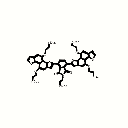 CCCCCCCCCCCCOc1cc2cc(-c3ccc(-c4cc5cc(OCCCCCCCCCCCC)c6c7sccc7cc(OCCCCCCCCCCCC)c6c5s4)c4c3C(=O)N(CCCCCCCCCCCC)C4=O)sc2c2c(OCCCCCCCCCCCC)cc3ccsc3c12